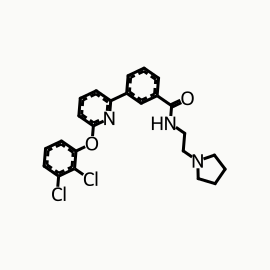 O=C(NCCN1CCCC1)c1cccc(-c2cccc(Oc3cccc(Cl)c3Cl)n2)c1